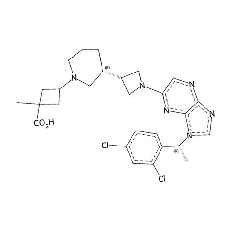 C[C@H](c1ccc(Cl)cc1Cl)n1cnc2ncc(N3CC([C@H]4CCCN(C5CC(C)(C(=O)O)C5)C4)C3)nc21